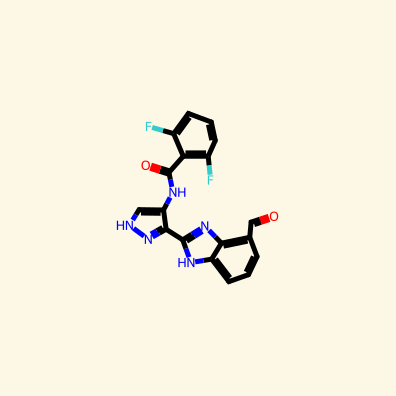 O=Cc1cccc2[nH]c(-c3n[nH]cc3NC(=O)c3c(F)cccc3F)nc12